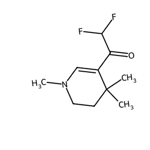 CN1C=C(C(=O)C(F)F)C(C)(C)CC1